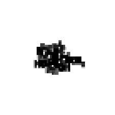 COC=Cc1cccn1N(C)c1ccncc1.O=C(O)/C=C\C(=O)O